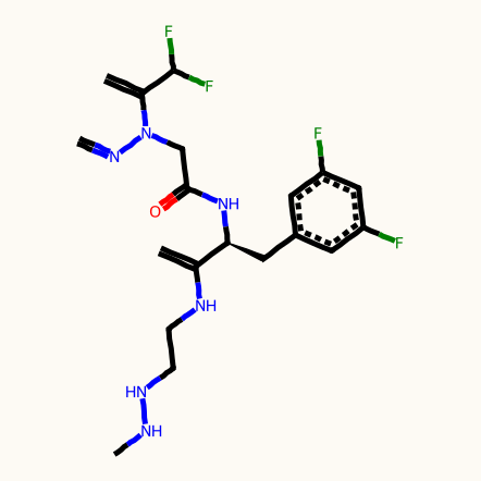 C=NN(CC(=O)N[C@@H](Cc1cc(F)cc(F)c1)C(=C)NCCNNC)C(=C)C(F)F